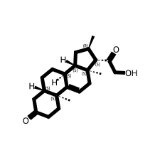 C[C@@H]1C[C@H]2[C@@H]3CC[C@H]4CC(=O)CC[C@]4(C)C3=CC[C@]2(C)[C@H]1C(=O)CO